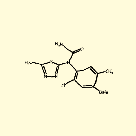 COc1cc(Cl)c(N(C(N)=O)c2nnc(C)s2)cc1C